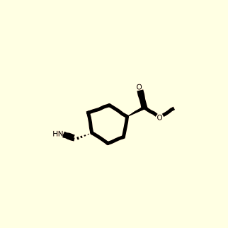 COC(=O)[C@H]1CC[C@H](C=N)CC1